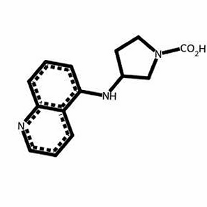 O=C(O)N1CCC(Nc2cccc3ncccc23)C1